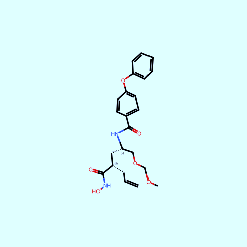 C=CC[C@@H](C[C@@H](COCOC)NC(=O)c1ccc(Oc2ccccc2)cc1)C(=O)NO